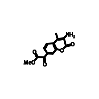 COC(=O)C(=O)c1ccc2c(C)c(N)c(=O)oc2c1